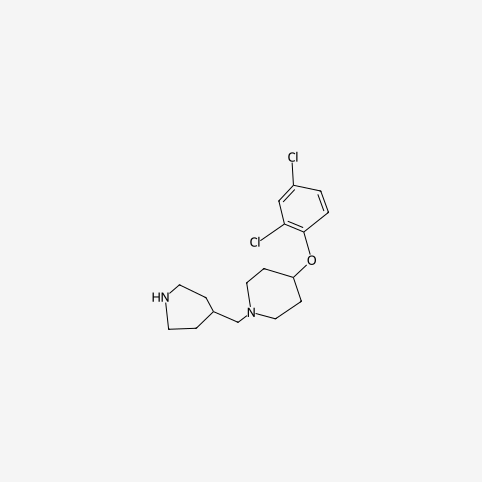 Clc1ccc(OC2CCN(CC3CCNCC3)CC2)c(Cl)c1